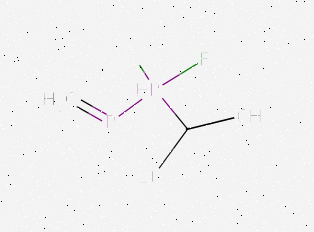 C=P[PH](F)(F)C(C)CC